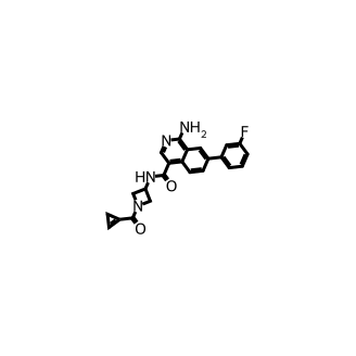 Nc1ncc(C(=O)NC2CN(C(=O)C3=CC3)C2)c2ccc(-c3cccc(F)c3)cc12